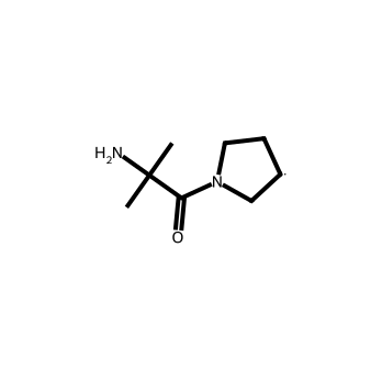 CC(C)(N)C(=O)N1C[CH]CC1